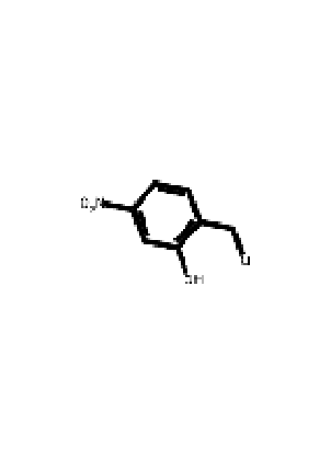 O=[N+]([O-])c1ccc(CCl)c(O)c1